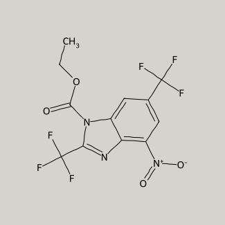 CCOC(=O)n1c(C(F)(F)F)nc2c([N+](=O)[O-])cc(C(F)(F)F)cc21